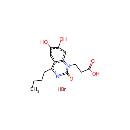 Br.CCCCc1nc(=O)n(CCC(=O)O)c2cc(O)c(O)cc12